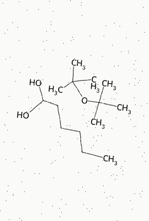 CC(C)(C)OC(C)(C)C.CCCCCC(O)O